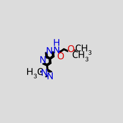 CC(C)OCCC(=O)Nc1cc2cc(-c3cncn3C)cnc2cn1